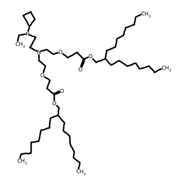 CCCCCCCCC(CCCCCCCC)COC(=O)CCOCCN(CCOCCC(=O)OCC(CCCCCCCC)CCCCCCCC)CCN(CC)C1CCC1